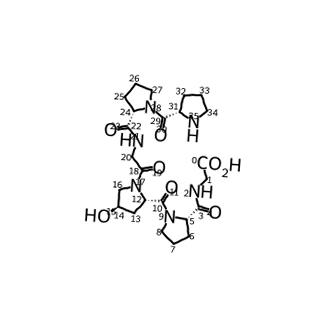 O=C(O)CNC(=O)[C@@H]1CCCN1C(=O)[C@@H]1C[C@@H](O)CN1C(=O)CNC(=O)[C@@H]1CCCN1C(=O)[C@@H]1CCCN1